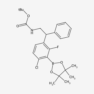 CC(C)(C)OC(=O)NCC(c1ccccc1)c1ccc(Cl)c(B2OC(C)(C)C(C)(C)O2)c1F